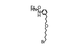 CCNC(=O)Nc1cccc(CCCCOCCCCCCBr)c1